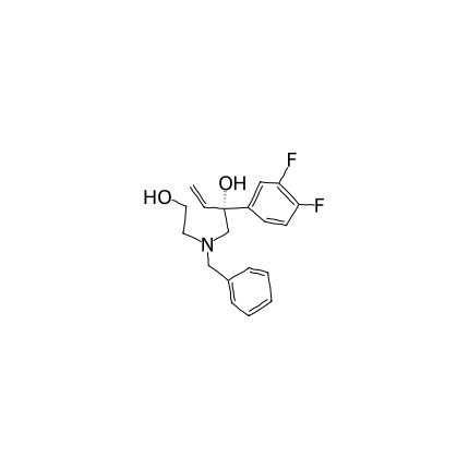 C=C[C@](O)(CN(CCO)Cc1ccccc1)c1ccc(F)c(F)c1